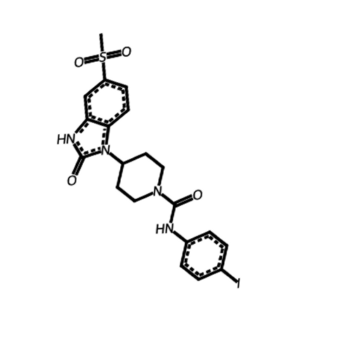 CS(=O)(=O)c1ccc2c(c1)[nH]c(=O)n2C1CCN(C(=O)Nc2ccc(I)cc2)CC1